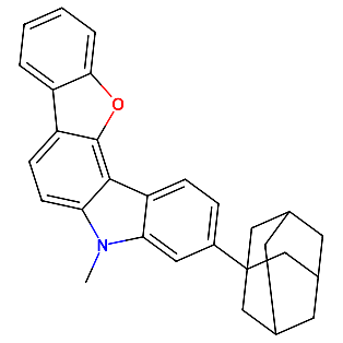 Cn1c2cc(C34CC5CC(CC(C5)C3)C4)ccc2c2c3oc4ccccc4c3ccc21